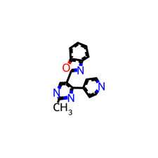 Cc1ncc(-c2nc3ccccc3o2)c(-c2ccncc2)n1